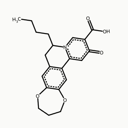 CCCCC1Cc2cc3c(cc2-c2cc(=O)c(C(=O)O)cn21)OCCCO3